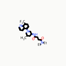 CCN(CC)C(=O)CCC(=O)NC1CC(C)CN(c2ccc(C(F)(F)F)c3ncccc23)C1